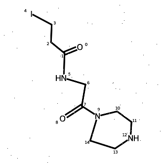 O=C(CCI)NCC(=O)N1CCNCC1